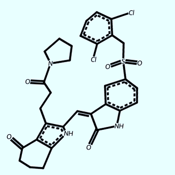 O=C1Nc2ccc(S(=O)(=O)Cc3c(Cl)cccc3Cl)cc2/C1=C/c1[nH]c2c(c1CCC(=O)N1CCCC1)C(=O)CCC2